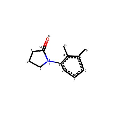 Cc1cccc(N2CCCC2=O)c1C